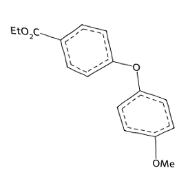 CCOC(=O)c1ccc(Oc2ccc(OC)cc2)cc1